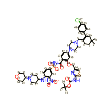 CC1(C)CCC(CN2CCN(c3ccc(C(=O)NS(=O)(=O)c4ccc(NC5CCN(C6CCOCC6)CC5)c([N+](=O)[O-])c4)c(OCc4csc(NC(=O)OC(C)(C)C)n4)c3)CC2)=C(c2ccc(Cl)cc2)C1